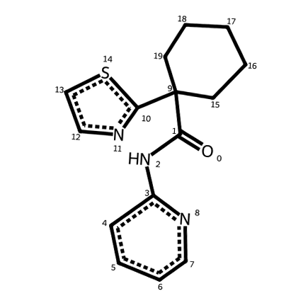 O=C(Nc1ccccn1)C1(c2nccs2)CCCCC1